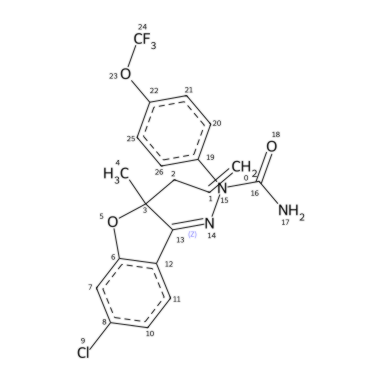 C=CCC1(C)Oc2cc(Cl)ccc2/C1=N/N(C(N)=O)c1ccc(OC(F)(F)F)cc1